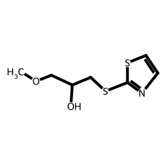 COCC(O)CSc1nccs1